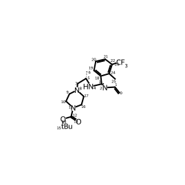 C=C/N=C(/N[C@@H](C)CN1CCN(C(=O)OC(C)(C)C)CC1)c1cccc(C(F)(F)F)c1C